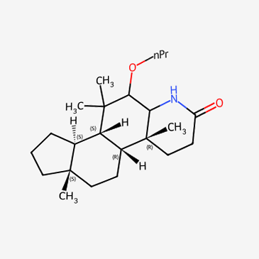 CCCOC1C2NC(=O)CC[C@]2(C)[C@@H]2CC[C@]3(C)CCC[C@H]3[C@@H]2C1(C)C